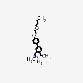 C/C=C/c1cc(-c2ccc(OCCOCCCC)cc2)ccc1C(C)C